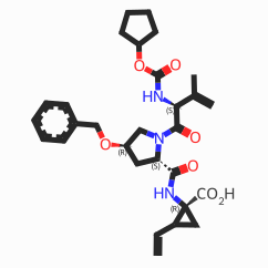 C=CC1C[C@]1(NC(=O)[C@@H]1C[C@@H](OCc2ccccc2)CN1C(=O)[C@@H](NC(=O)OC1CCCC1)C(=C)C)C(=O)O